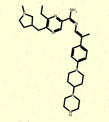 CCc1nc(/C(N)=N\C=C(/C)c2ccc(N3CCC(N4CCNCC4)CC3)cc2)cnc1CC1CCN(C)C1